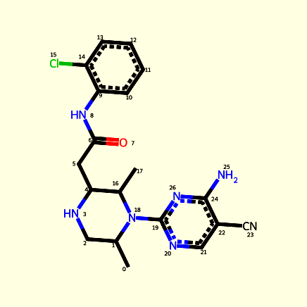 CC1CNC(CC(=O)Nc2ccccc2Cl)C(C)N1c1ncc(C#N)c(N)n1